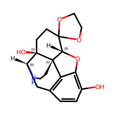 Oc1ccc2c3c1O[C@H]1C4(CC[C@@]5(O)[C@@H](C2)NCC[C@]315)OCCO4